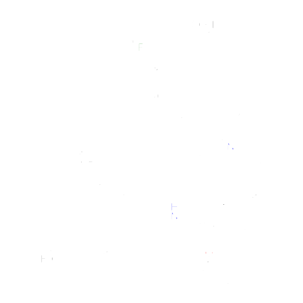 O=C(O)c1cc(CN2CCC(CC3CC3)(C(=O)NCc3cc(C(F)(F)F)cc(C(F)(F)F)c3)CC2)ccc1F